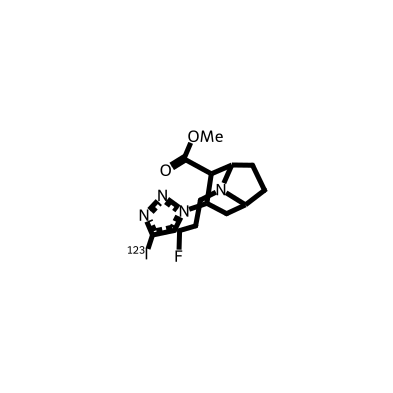 COC(=O)C1C2CCC(CC1n1cc([123I])nn1)N2CCCF